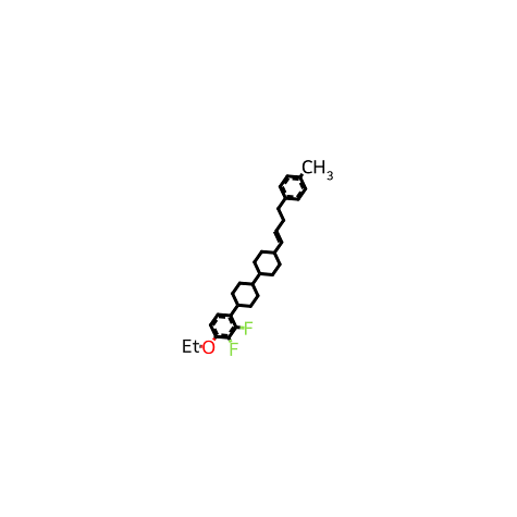 CCOc1ccc(C2CCC(C3CCC(/C=C/CCc4ccc(C)cc4)CC3)CC2)c(F)c1F